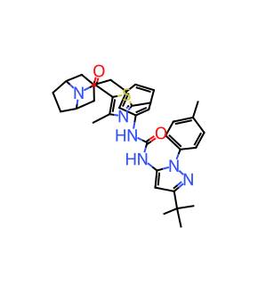 Cc1ccc(-n2nc(C(C)(C)C)cc2NC(=O)Nc2cccc(CC3CC4CCC(C3)N4C(=O)c3sc(C)nc3C)c2)cc1